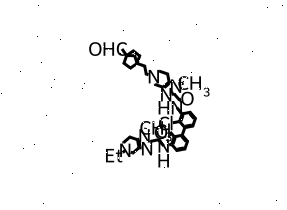 CCN1CCc2c(nc(C(=O)Nc3cccc(-c4cccc(NC(=O)c5nc6c(n5C)CCN(CCC57CCC(C=O)(CC5)C7)C6)c4Cl)c3Cl)n2C)C1